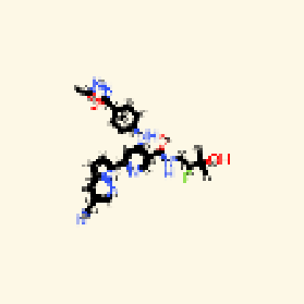 Cc1nnc(C23CCC(Nc4cc(-c5ccc6cc(C#N)cnn56)ncc4C(=O)NCC(F)C(C)(C)O)(CC2)CC3)o1